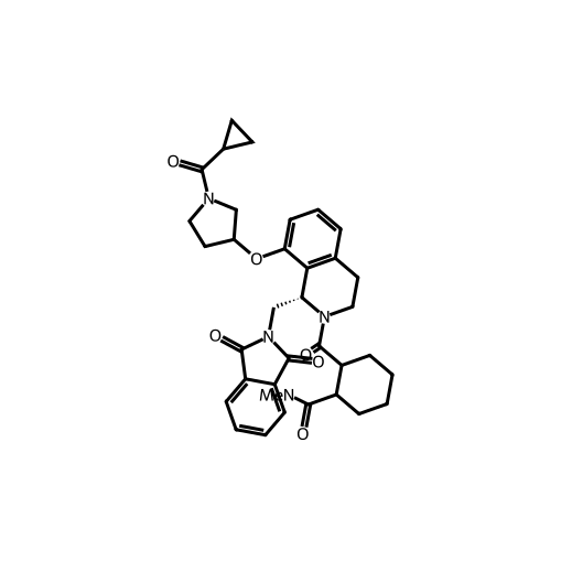 CNC(=O)C1CCCCC1C(=O)N1CCc2cccc(OC3CCN(C(=O)C4CC4)C3)c2[C@H]1CN1C(=O)c2ccccc2C1=O